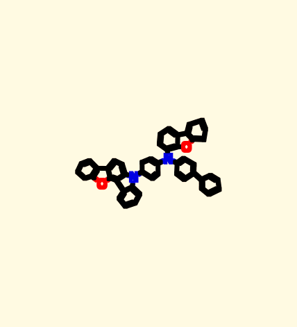 C1=Cc2c(oc3c2ccc2c3c3ccccc3n2C2C=CC(N(c3ccc(-c4ccccc4)cc3)c3cccc4c3oc3ccccc34)=CC2)CC1